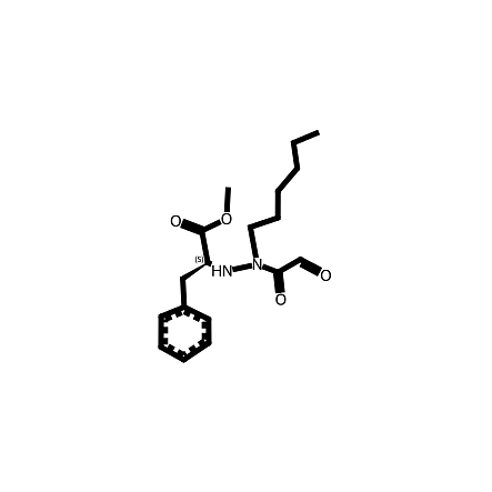 CCCCCCN(N[C@@H](Cc1ccccc1)C(=O)OC)C(=O)C=O